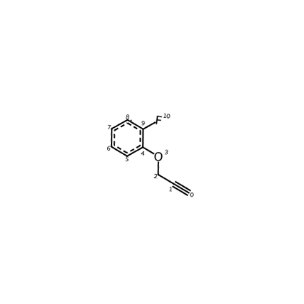 C#CCOc1ccc[c]c1F